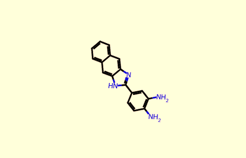 Nc1ccc(-c2nc3cc4ccccc4cc3[nH]2)cc1N